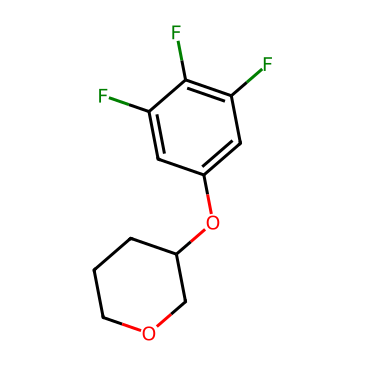 Fc1cc(OC2CCCOC2)cc(F)c1F